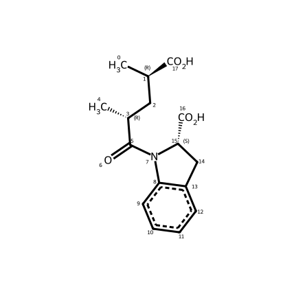 C[C@H](C[C@@H](C)C(=O)N1c2ccccc2C[C@H]1C(=O)O)C(=O)O